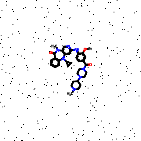 CCOc1cc(C(=O)N2CCN(C3CCN(C)CC3)CC2)ccc1Nc1cc2c(cn1)N(C)C(=O)c1ccccc1N2C1CC1